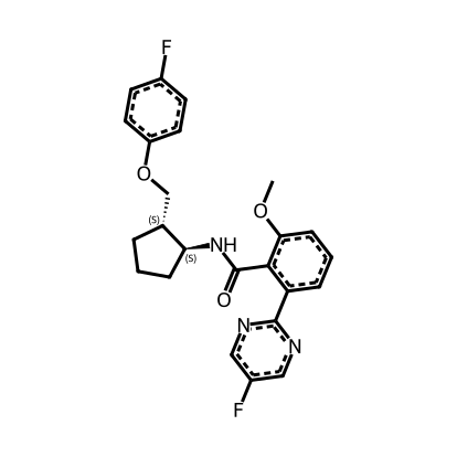 COc1cccc(-c2ncc(F)cn2)c1C(=O)N[C@H]1CCC[C@@H]1COc1ccc(F)cc1